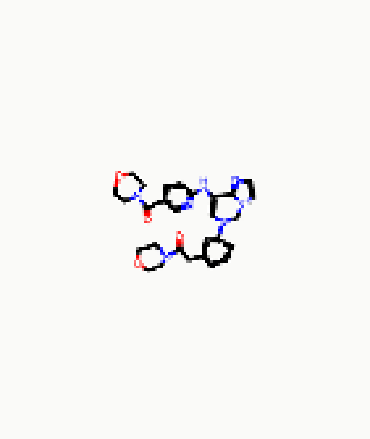 O=C(Cc1cccc(N2C=C(Nc3ccc(C(=O)N4CCOCC4)cn3)C3=NC=C[N+]3C2)c1)N1CCOCC1